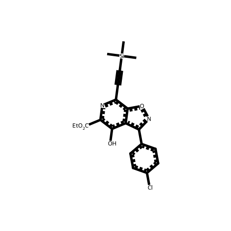 CCOC(=O)c1nc(C#C[Si](C)(C)C)c2onc(-c3ccc(Cl)cc3)c2c1O